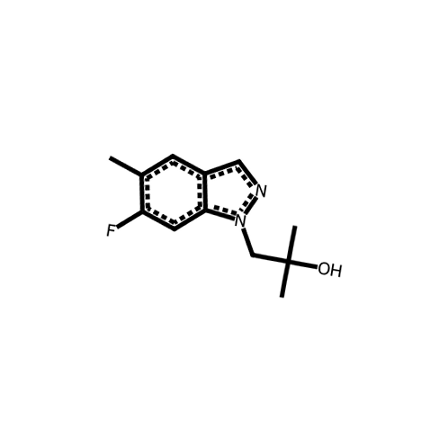 Cc1cc2cnn(CC(C)(C)O)c2cc1F